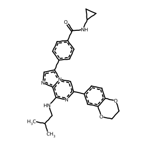 CC(C)CNc1nc(-c2ccc3c(c2)OCCO3)cn2c(-c3ccc(C(=O)NC4CC4)cc3)cnc12